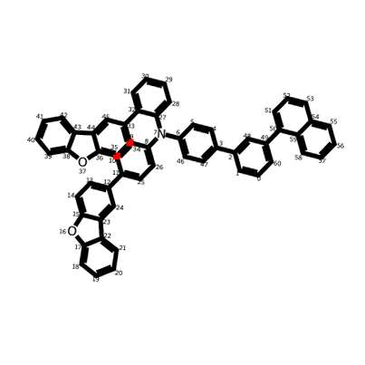 c1cc(-c2ccc(N(c3ccc(-c4ccc5oc6ccccc6c5c4)cc3)c3ccccc3-c3ccc4oc5ccccc5c4c3)cc2)cc(-c2cccc3ccccc23)c1